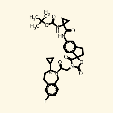 CC(C)(C)OC(=O)NC1(C(=O)Nc2ccc3c(c2)CCC32OC(=O)N(CC(=O)N3Cc4ccc(F)cc4CC[C@H]3C3CC3)C2=O)CC1